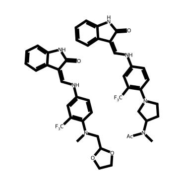 CC(=O)N(C)C1CCN(c2ccc(NC=C3C(=O)Nc4ccccc43)cc2C(F)(F)F)C1.CN(CC1OCCO1)c1ccc(NC=C2C(=O)Nc3ccccc32)cc1C(F)(F)F